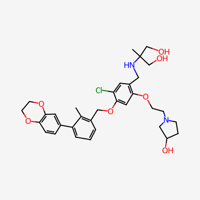 Cc1c(COc2cc(OCCN3CCC(O)C3)c(CNC(C)(CO)CO)cc2Cl)cccc1-c1ccc2c(c1)OCCO2